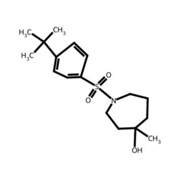 CC1(O)CCCN(S(=O)(=O)c2ccc(C(C)(C)C)cc2)CC1